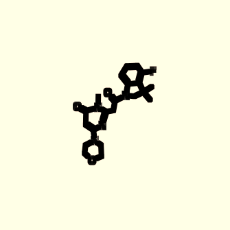 Cn1c(CC(=O)N2CC(C)(C)c3c(F)cccc32)nc(N2CCOCC2)cc1=O